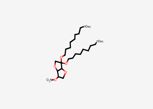 CCCCCCCCCCCCCCCCCCOC1(OCCCCCCCCCCCCCCCCCC)COC2C(O[N+](=O)[O-])COC21